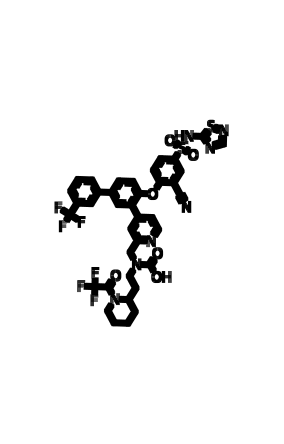 N#Cc1cc(S(=O)(=O)Nc2ncns2)ccc1Oc1ccc(-c2cccc(C(F)(F)F)c2)cc1-c1ccnc(CN(CCC2CCCCN2C(=O)C(F)(F)F)C(=O)O)c1